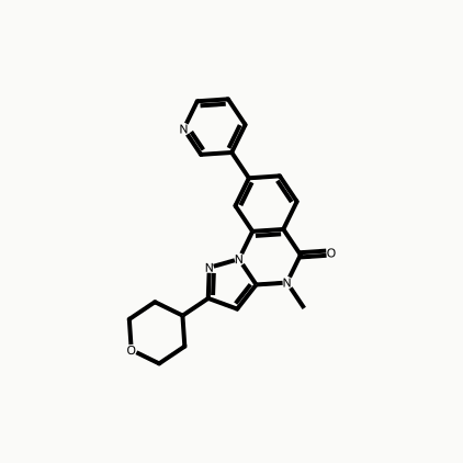 Cn1c(=O)c2ccc(-c3cccnc3)cc2n2nc(C3CCOCC3)cc12